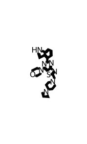 c1cc(-c2nc(N3CCOCC3)c3sc(CN4CCC(N5CCC5)CC4)nc3n2)c2cc[nH]c2c1